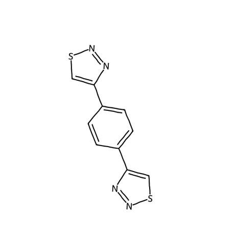 c1cc(-c2csnn2)ccc1-c1csnn1